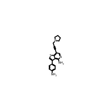 Nc1ccc(-c2csc3c(C#CCN4CCCC4)cnc(N)c23)cc1